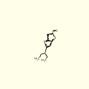 CCN(CC)c1cc2sc(C=O)cc2s1